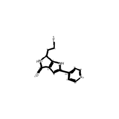 O=C1NC(CCF)c2[nH]c(-c3ccncc3)cc21